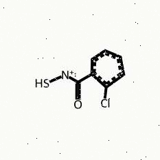 O=C([N+]S)c1ccccc1Cl